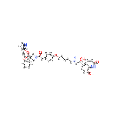 O=C(Cc1ccc(OCCCCCNC[C@H](O)c2ccc(O)c3[nH]c(=O)ccc23)cc1)N1CC(C(=O)O[C@H]2CN3CCC2CC3)(c2ccccc2)C1